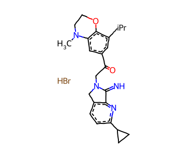 Br.CC(C)c1cc(C(=O)CN2Cc3ccc(C4CC4)nc3C2=N)cc2c1OCCN2C